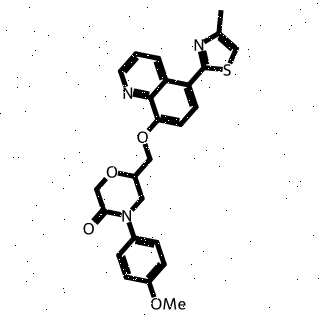 COc1ccc(N2CC(COc3ccc(-c4nc(C)cs4)c4cccnc34)OCC2=O)cc1